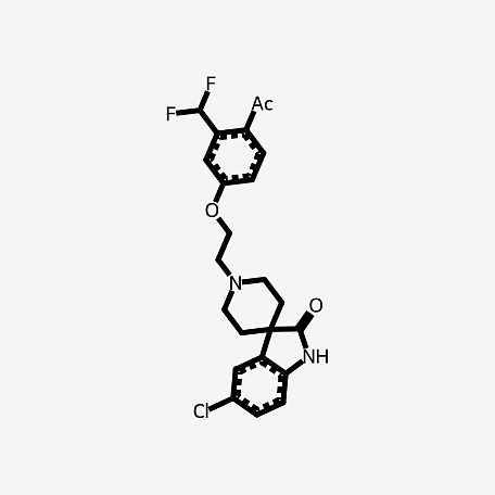 CC(=O)c1ccc(OCCN2CCC3(CC2)C(=O)Nc2ccc(Cl)cc23)cc1C(F)F